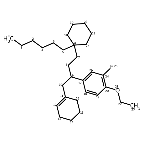 CCCCCCC1(CCC(CC2=CCCCC2)c2ccc(OCC)c(F)c2)CCCCC1